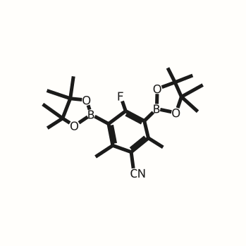 Cc1c(C#N)c(C)c(B2OC(C)(C)C(C)(C)O2)c(F)c1B1OC(C)(C)C(C)(C)O1